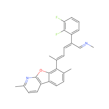 C/N=C/C(=C\C=C(/C)c1c(C)ccc2c1oc1nc(C)ccc12)c1cccc(F)c1F